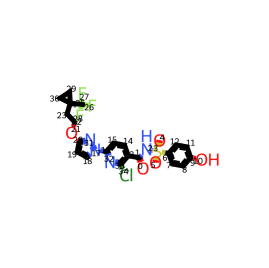 O=C(NS(=O)(=O)c1ccc(O)cc1)c1ccc(-n2ccc(OCCC3(C(F)(F)F)CC3)n2)nc1Cl